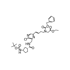 CCOC(=O)CN(CC/C=C/c1cnc(Cl)c(CNC(=O)[C@@H]2CC[C@@H](NC(=O)OC(C)(C)C)C2)n1)C(=O)OCc1ccccc1